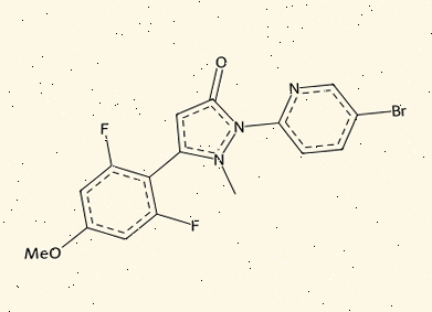 COc1cc(F)c(-c2cc(=O)n(-c3ccc(Br)cn3)n2C)c(F)c1